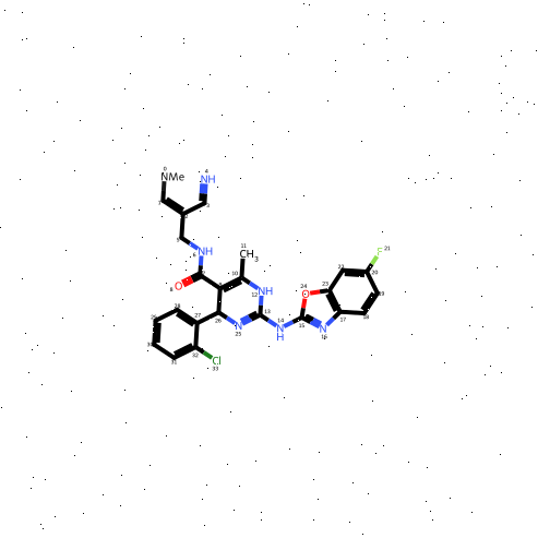 CN/C=C(\C=N)CNC(=O)C1=C(C)NC(Nc2nc3ccc(F)cc3o2)=NC1c1ccccc1Cl